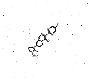 COc1cccc(-c2ccc3c(=O)n(-c4ncc(F)cn4)ncc3c2)c1C